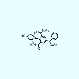 CNC(=O)c1nc(C(OC)c2ccccc2)cc(C(N)=O)c1C1[C@H]2CC(O)C[C@@H]12